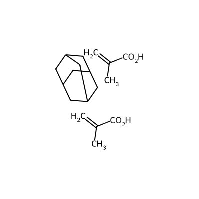 C1C2CC3CC1CC(C2)C3.C=C(C)C(=O)O.C=C(C)C(=O)O